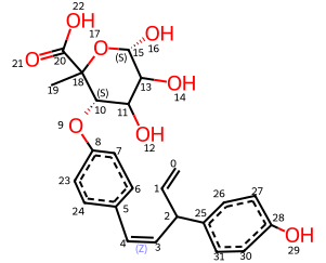 C=CC(/C=C\c1ccc(O[C@H]2C(O)C(O)[C@@H](O)OC2(C)C(=O)O)cc1)c1ccc(O)cc1